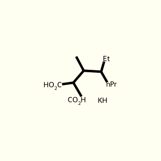 CCCC(CC)C(C)C(C(=O)O)C(=O)O.[KH]